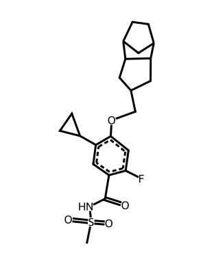 CS(=O)(=O)NC(=O)c1cc(C2CC2)c(OCC2CC3C4CCC(C4)C3C2)cc1F